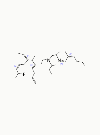 C=CC/C=C(\CCN(CC(C)/N=C\C(C)=C/CCC)C(C)CC)C(C)/C(=C/C)C/C=C\C(C)F